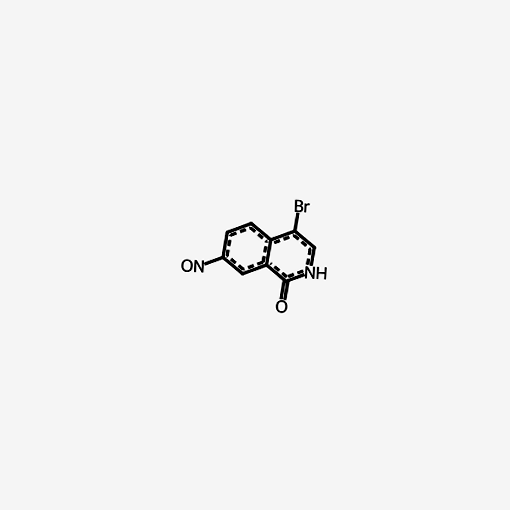 O=Nc1ccc2c(Br)c[nH]c(=O)c2c1